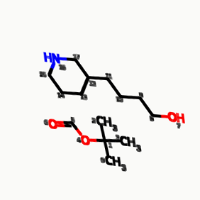 CC(C)(C)OC=O.OCCCCC1CCCNC1